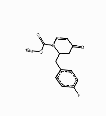 CC(C)(C)OC(=O)N1C=CC(=O)CC1Cc1ccc(F)cc1